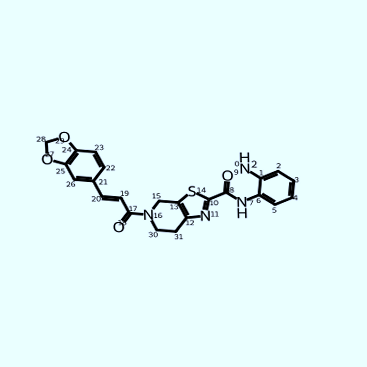 Nc1ccccc1NC(=O)c1nc2c(s1)CN(C(=O)/C=C/c1ccc3c(c1)OCO3)CC2